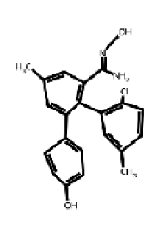 Cc1ccc(Cl)c(-c2c(/C(N)=N/O)cc(C)cc2-c2ccc(O)cc2)c1